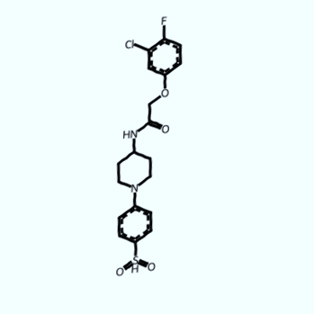 O=C(COc1ccc(F)c(Cl)c1)NC1CCN(c2ccc([SH](=O)=O)cc2)CC1